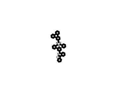 c1ccc(C2=NC(c3ccc4c5ccccc5c5ccccc5c4c3)=NC(c3ccccc3-c3cccc(-c4nc5oc6ccccc6c5c5ccccc45)c3)N2)cc1